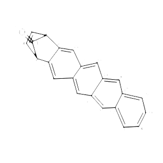 O=C1C2C=CC1c1cc3cc4cc5ccccc5cc4cc3cc12